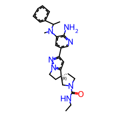 CCNC(=O)N1CC[C@@]2(CCn3nc(-c4cnc(N)c(N(C)C(C)c5ccccc5)c4)cc32)C1